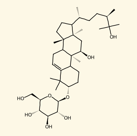 C[C@H](CC[C@@H](C)C(C)(C)O)C1CC[C@@]2(C)C3CC=C4C(CC[C@H](O[C@@H]5O[C@H](CO)[C@@H](O)[C@H](O)[C@H]5O)C4(C)C)[C@]3(C)[C@H](O)C[C@]12C